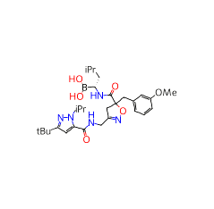 COc1cccc(CC2(C(=O)N[C@@H](CC(C)C)B(O)O)CC(CNC(=O)c3cc(C(C)(C)C)nn3C(C)C)=NO2)c1